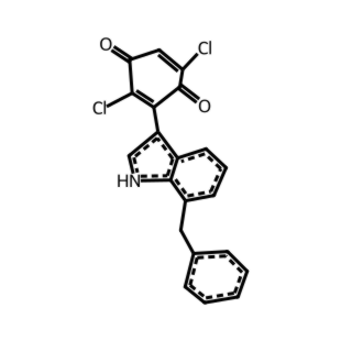 O=C1C=C(Cl)C(=O)C(c2c[nH]c3c(Cc4ccccc4)cccc23)=C1Cl